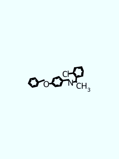 CC(N=Cc1ccc(OCc2ccccc2)cc1)c1ccccc1Cl